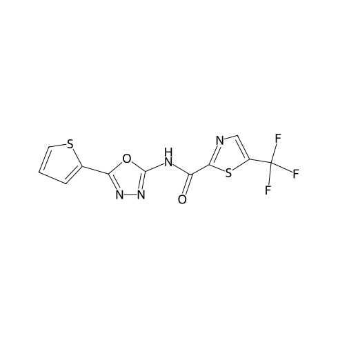 O=C(Nc1nnc(-c2cccs2)o1)c1ncc(C(F)(F)F)s1